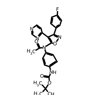 CC(=O)N(c1ccc(NC(=O)OC(C)(C)C)cc1)c1onc(-c2ccc(F)cc2)c1-c1ccncn1